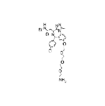 CCNC(=O)C[C@@H]1N=C(c2ccc(Cl)cc2)c2cc(OCCOCCOCCOCCN)ccc2-n2c(C)nnc21